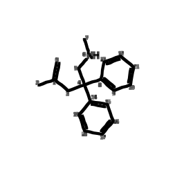 C=C(C)CC(CNC)(c1ccccc1)c1ccccc1